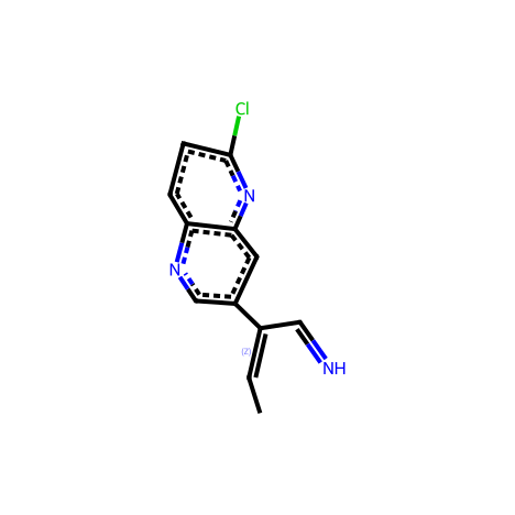 C/C=C(\C=N)c1cnc2ccc(Cl)nc2c1